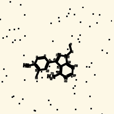 [CH2]Cn1nc(-c2ccc(S)c(C)c2)c2c(N)ncnc21